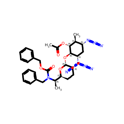 CC(=O)O[C@@H]1[C@@H](C)[C@H](N=[N+]=[N-])C[C@H](N=[N+]=[N-])[C@H]1O[C@H]1O[C@H]([C@@H](C)N(Cc2ccccc2)C(=O)OCc2ccccc2)CC[C@H]1N=[N+]=[N-]